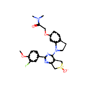 COc1ccc(-c2nc3c(c(N4CCc5ccc(OCC(=O)N(C)C)cc54)n2)C[S+]([O-])C3)cc1F